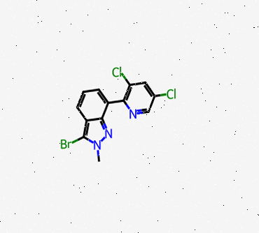 Cn1nc2c(-c3ncc(Cl)cc3Cl)cccc2c1Br